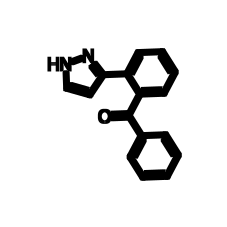 O=C(c1ccccc1)c1ccccc1-c1cc[nH]n1